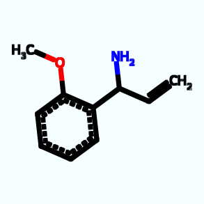 C=CC(N)c1ccccc1OC